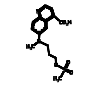 CN(CCCOS(C)(=O)=O)c1ccc2nccc(C(=O)O)c2c1